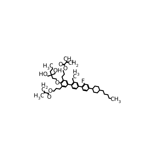 C=C(C)C(=O)OCCCc1cc(-c2ccc(-c3ccc(C4CCC(CCCCC)CC4)cc3F)cc2CC)cc(CCCOC(=O)C(=C)C)c1OCCC(CO)(CO)CCC